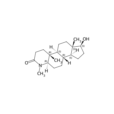 CN1C(=O)CC[C@]2(C)[C@H]3CC[C@]4(C)[C@@H](O)CC[C@H]4[C@@H]3CC[C@@H]12